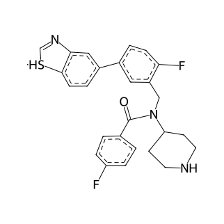 O=C(c1ccc(F)cc1)N(Cc1cc(-c2ccc3c(c2)N=C[SH]3)ccc1F)C1CCNCC1